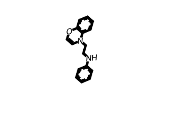 C1=CN(CCNc2ccccc2)c2ccccc2O1